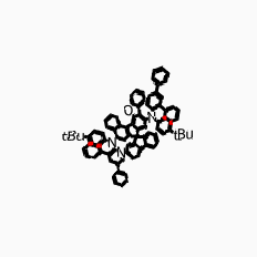 CC(C)(C)c1ccc(N(c2ncc(-c3ccccc3)cc2-c2ccccc2)c2cc3c(c4ccccc24)-c2c(cc(N(c4ccc(C(C)(C)C)cc4)c4ccc(-c5ccccc5)cc4-c4ccccc4)c4c2oc2ccccc24)C32c3ccccc3-c3ccccc32)cc1